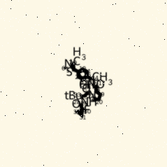 Cc1cc(-c2scnc2C)ccc1C(C)NC(=O)C1CCCN1C(=O)C(NC(=O)C1(F)CC1)C(C)(C)C